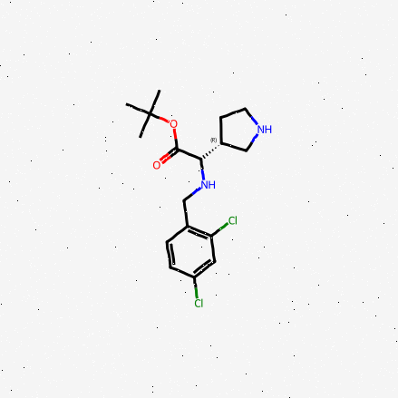 CC(C)(C)OC(=O)C(NCc1ccc(Cl)cc1Cl)[C@@H]1CCNC1